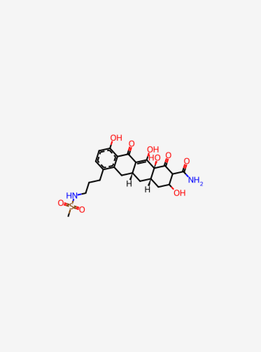 CS(=O)(=O)NCCCc1ccc(O)c2c1C[C@H]1C[C@H]3CC(O)C(C(N)=O)C(=O)[C@@]3(O)C(O)=C1C2=O